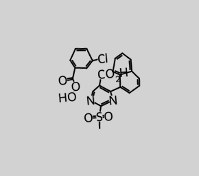 CS(=O)(=O)c1ncc(C(=O)O)c(-c2cccc3ccccc23)n1.O=C(OO)c1cccc(Cl)c1